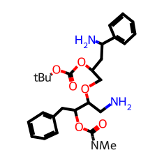 CNC(=O)OC(Cc1ccccc1)C(CN)OCC(CC(N)c1ccccc1)OC(=O)OC(C)(C)C